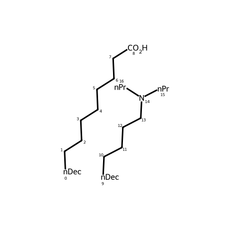 CCCCCCCCCCCCCCCCCC(=O)O.CCCCCCCCCCCCCCN(CCC)CCC